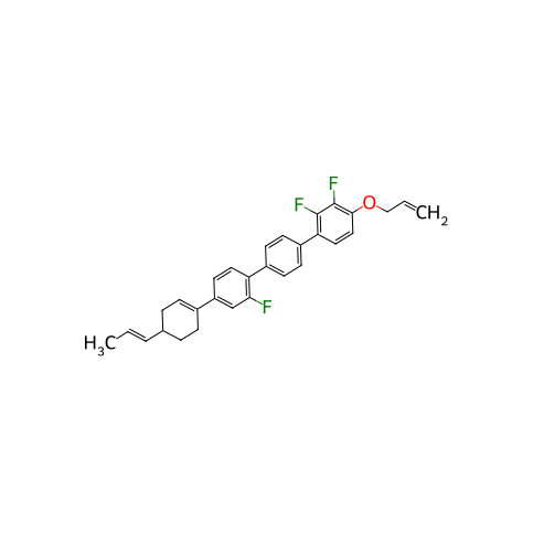 C=CCOc1ccc(-c2ccc(-c3ccc(C4=CCC(/C=C/C)CC4)cc3F)cc2)c(F)c1F